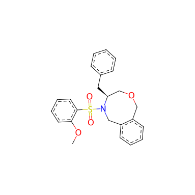 COc1ccccc1S(=O)(=O)N1Cc2ccccc2COC[C@@H]1Cc1ccccc1